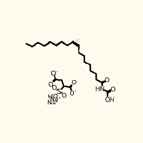 CCCCCCCC/C=C\CCCCCCCC(=O)NC(=O)O.O=C([O-])CC(C(=O)[O-])S(=O)(=O)O.[Na+].[Na+]